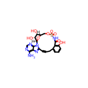 Nc1ncnc2c1nc1n2[C@@H]2O[C@H](COS(=O)(=O)NC(=O)c3c(O)cccc3CC#C1)[C@@H](O)[C@H]2O